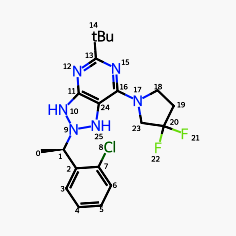 C[C@H](c1ccccc1Cl)N1Nc2nc(C(C)(C)C)nc(N3CCC(F)(F)C3)c2N1